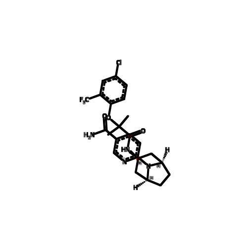 CC(C)(Oc1ccc(Cl)cc1C(F)(F)F)C(=O)N[C@H]1C[C@H]2CC[C@@H](C1)N2c1ccc(C(N)=O)cn1